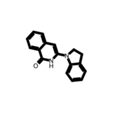 O=c1[nH]c(N2CCc3ccccc32)cc2ccccc12